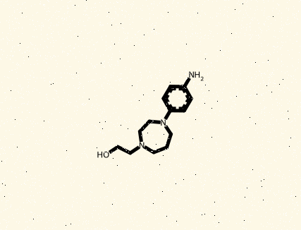 Nc1ccc(N2CCCN(CCO)CC2)cc1